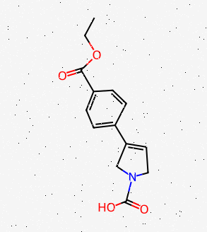 CCOC(=O)c1ccc(C2=CCN(C(=O)O)C2)cc1